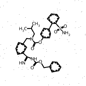 CC(C)CN(Cc1cccc(C(=N)NC(=O)OCc2ccccc2)c1)C(=O)Oc1ccc(-c2ccccc2S(N)(=O)=O)cc1